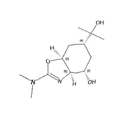 CN(C)C1=N[C@H]2[C@H](C[C@H](C(C)(C)O)C[C@@H]2O)O1